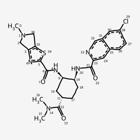 CN1Cc2nc(C(=O)N[C@@H]3C[C@@H](C(=O)N(C)C)CC[C@@H]3NC(=O)c3cc4ccc(Cl)cc4cn3)sc2C1